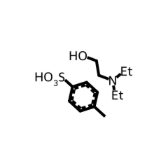 CCN(CC)CCO.Cc1ccc(S(=O)(=O)O)cc1